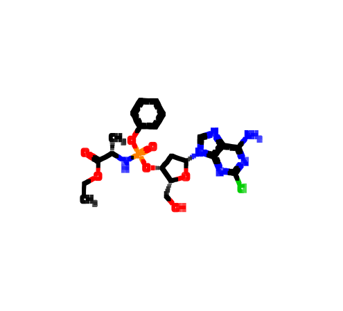 CCOC(=O)[C@H](C)NP(=O)(Oc1ccccc1)O[C@@H]1C[C@H](n2cnc3c(N)nc(Cl)nc32)O[C@@H]1CO